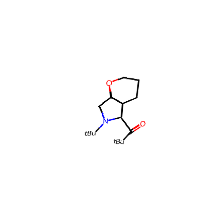 CC(C)(C)C(=O)C1C2CCCOC2CN1C(C)(C)C